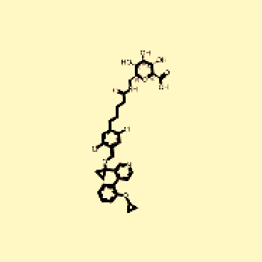 O=C(CCCCc1cc(Cl)c(COC2(c3cnccc3-c3ccccc3OC3CC3)CC2)cc1Cl)NC[C@@H]1O[C@H](C(=O)O)[C@@H](O)[C@H](O)[C@H]1O